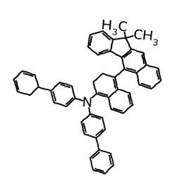 CC1(C)c2ccccc2-c2c1cc1ccccc1c2C1=c2ccccc2=C(N(c2ccc(-c3ccccc3)cc2)c2ccc(C3C=CC=CC3)cc2)CC1